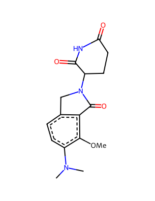 COc1c(N(C)C)ccc2c1C(=O)N(C1CCC(=O)NC1=O)C2